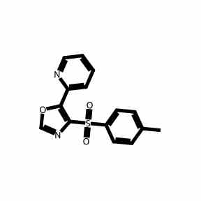 Cc1ccc(S(=O)(=O)c2ncoc2-c2ccccn2)cc1